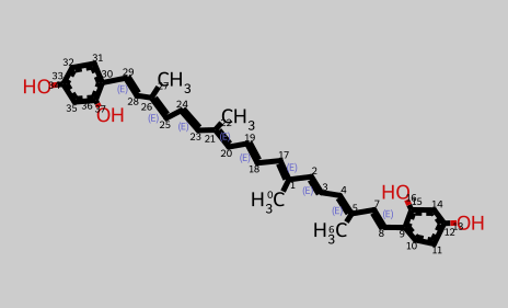 CC(/C=C/C=C(C)/C=C/c1ccc(O)cc1O)=C\C=C\C=C(C)\C=C\C=C(C)\C=C\c1ccc(O)cc1O